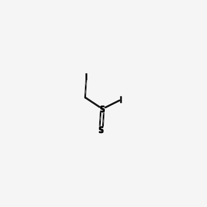 S=S(I)CI